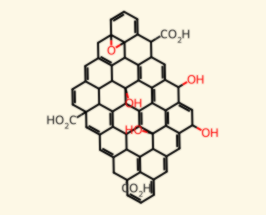 O=C(O)C1C2=CC=CC34CC5=C6C7C8C(=C5)C=CC5(C(=O)O)C=C9C=C%10CC%11(C(=O)O)C=CC=C%12C=C%13C=C%14C%15=C%16C(=CC%14O)C(O)C%14=CC1C(=C1C%14=C%16C%14=C%16C(C9=C(C85)C%14C17O)C%10C(=C%12%11)C%13C%15%16O)C6C23O4